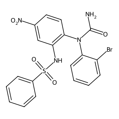 NC(=O)N(c1ccccc1Br)c1ccc([N+](=O)[O-])cc1NS(=O)(=O)c1ccccc1